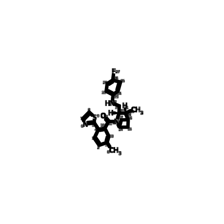 Cc1ccc(-c2nccs2)c(C(=O)N2C3CC(C3)[C@@H](C)[C@H]2CNc2ccc(F)cc2)c1